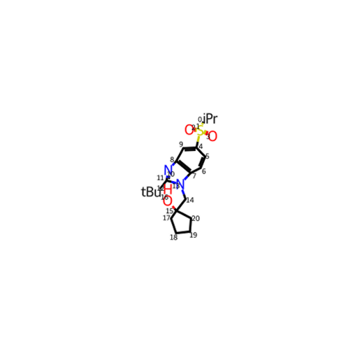 CC(C)S(=O)(=O)c1ccc2c(c1)nc(C(C)(C)C)n2CC1(O)CCCC1